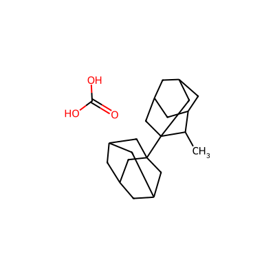 CC1C2CC3CC(C2)CC1(C12CC4CC(CC(C4)C1)C2)C3.O=C(O)O